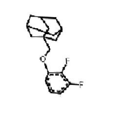 Fc1[c]ccc(OCC23CC4CC(CC(C4)C2)C3)c1F